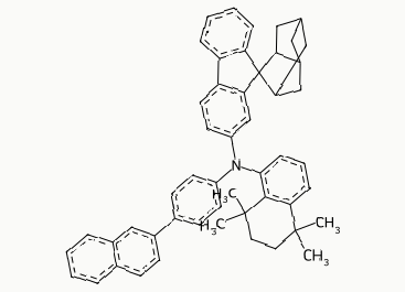 CC1(C)CCC(C)(C)c2c(N(c3ccc(-c4ccc5ccccc5c4)cc3)c3ccc4c(c3)C3(c5ccccc5-4)C4CC5CC(C4)C3C5)cccc21